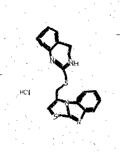 Cl.c1ccc2c(c1)CNC(SCc1csc3nc4ccccc4n13)=N2